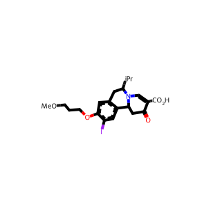 COCCCOc1cc2c(cc1I)C1CC(=O)C(C(=O)O)=CN1C(C(C)C)C2